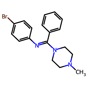 CN1CCN(C(=Nc2ccc(Br)cc2)c2ccccc2)CC1